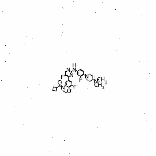 CN(C)C1CCN(c2ccc(Nc3ncc(F)c(-c4cc(F)c5c(c4)N(C(=O)C4CCC4)CCO5)n3)cc2F)CC1